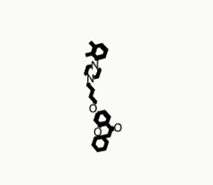 Cc1cccc(N2CCN(CCCCOc3ccc4c(c3)OC3(CCCCC3)CC4=O)CC2)c1C